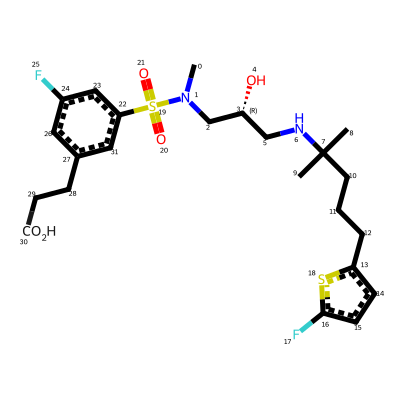 CN(C[C@H](O)CNC(C)(C)CCCc1ccc(F)s1)S(=O)(=O)c1cc(F)cc(CCC(=O)O)c1